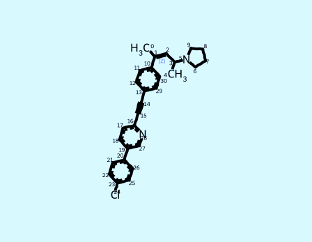 C/C(=C/C(C)N1CCCC1)c1ccc(C#Cc2ccc(-c3ccc(Cl)cc3)cn2)cc1